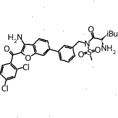 CC[C@H](C)[C@@H](N)C(=O)N(Cc1cccc(-c2ccc3c(N)c(C(=O)c4ccc(Cl)cc4Cl)oc3c2)c1)S(C)(=O)=O